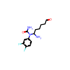 NC(=O)N(c1ccc(F)c(F)c1)C(N)CCCCC=O